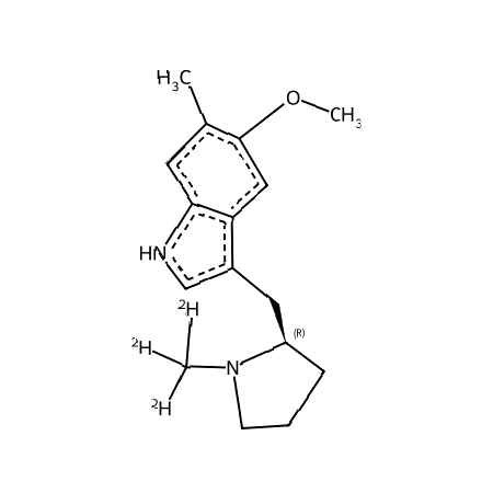 [2H]C([2H])([2H])N1CCC[C@@H]1Cc1c[nH]c2cc(C)c(OC)cc12